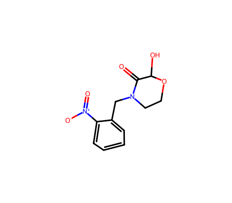 O=C1C(O)OCCN1Cc1ccccc1[N+](=O)[O-]